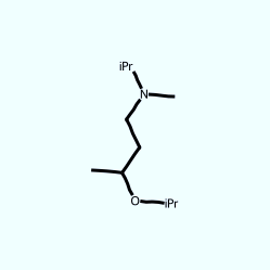 CC(C)OC(C)CCN(C)C(C)C